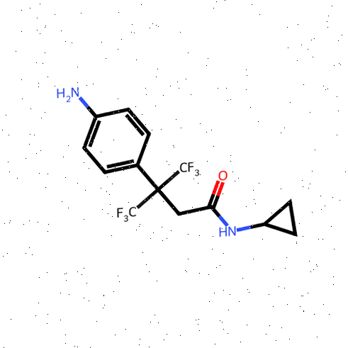 Nc1ccc(C(CC(=O)NC2CC2)(C(F)(F)F)C(F)(F)F)cc1